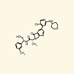 Cc1cccc([C@@H](CO)NC(=O)[C@@H](C)N2Cc3ncc(-c4cc(NC5CCOCC5)ncc4Cl)cc3C2=O)c1